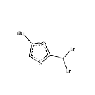 CCC(C)c1csc(C(CC)CC)n1